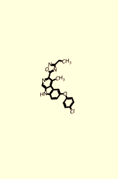 CCc1noc(-c2ncc3[nH]c4ccc(Oc5ccc(Cl)cc5)cc4c3c2C)n1